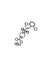 CC(C)(C)OC(=O)N1CCN(S(=O)(=O)C2=Cc3c(Cl)cccc3OC2)CC1